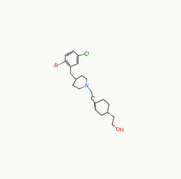 OCCC1CCC(CCN2CCC(Cc3cc(Cl)ccc3Br)CC2)CC1